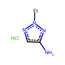 CCn1ncc(N)n1.Cl